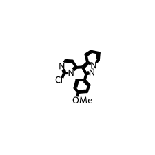 COc1ccc(-c2nn3ccccc3c2-c2ccnc(Cl)n2)cc1